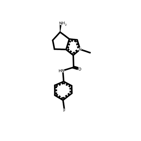 Cn1cc2c(c1C(=O)Nc1ccc(F)cc1)CC[C@H]2N